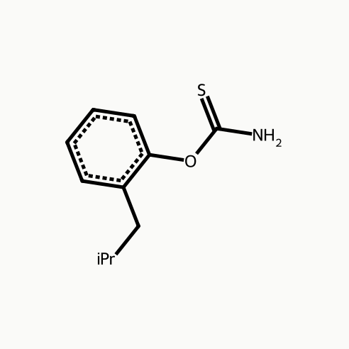 CC(C)Cc1ccccc1OC(N)=S